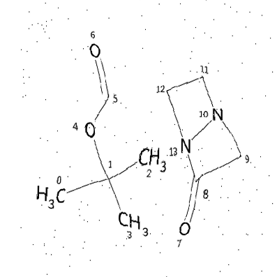 CC(C)(C)OC=O.O=C1CN2CCN12